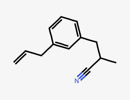 C=CCc1cccc(CC(C)C#N)c1